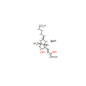 CCCCC[C@H](O)/C=C/[C@H]1[C@H](O)C[C@]2(C)C/C(=C\CCCC(=O)O)C[C@H]12.[NaH]